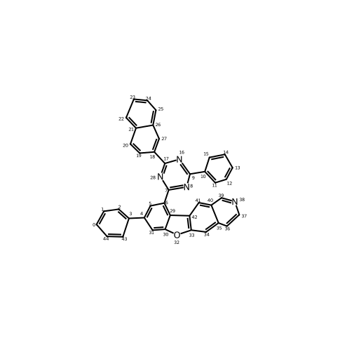 c1ccc(-c2cc(-c3nc(-c4ccccc4)nc(-c4ccc5ccccc5c4)n3)c3c(c2)oc2cc4ccncc4cc23)cc1